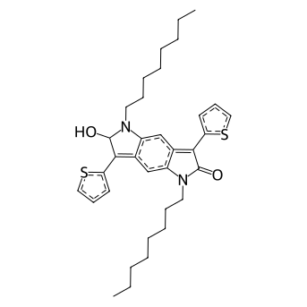 CCCCCCCCN1C(=O)C(c2cccs2)=c2cc3c(cc21)=C(c1cccs1)C(O)N3CCCCCCCC